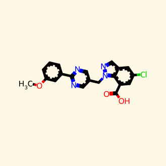 COc1cccc(-c2ncc(Cn3ncc4cc(Cl)cc(C(=O)O)c43)cn2)c1